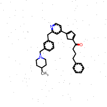 CC1CCN(Cc2cccc(Cc3cc(C4=CC=C(C(=O)CCCc5ccccc5)C4)ccn3)c2)CC1